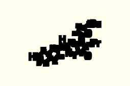 CC(C)n1c(=O)c2cnc(Nc3ccc4c(c3)CNCC4)nc2n1-c1ccc(C(C)(C)C)o1